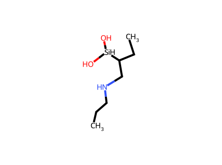 CCCNCC(CC)[SiH](O)O